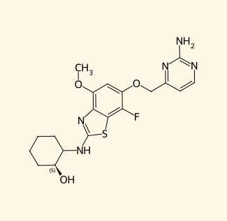 COc1cc(OCc2ccnc(N)n2)c(F)c2sc(NC3CCCC[C@@H]3O)nc12